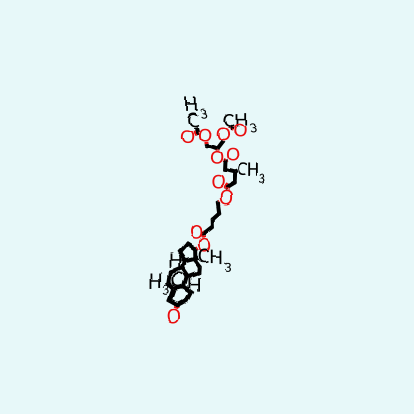 CC(=O)OCC(COC(C)=O)OC(=O)CC(C)CC(=O)OCCCCC(=O)OC1CC[C@H]2C3CCC4=CC(=O)CCC4(C)[C@H]3CCC12C